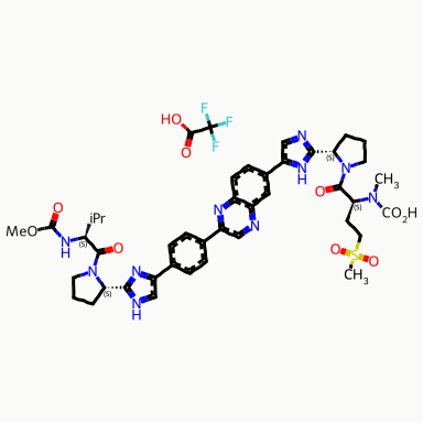 COC(=O)N[C@H](C(=O)N1CCC[C@H]1c1nc(-c2ccc(-c3cnc4cc(-c5cnc([C@@H]6CCCN6C(=O)[C@H](CCS(C)(=O)=O)N(C)C(=O)O)[nH]5)ccc4n3)cc2)c[nH]1)C(C)C.O=C(O)C(F)(F)F